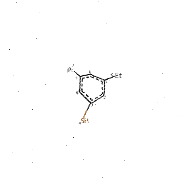 CCc1cc(S)cc(C(C)C)c1